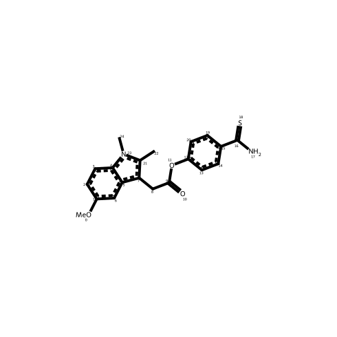 COc1ccc2c(c1)c(CC(=O)Oc1ccc(C(N)=S)cc1)c(C)n2C